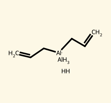 C=C[CH2][Al][CH2]C=C.[AlH3].[HH]